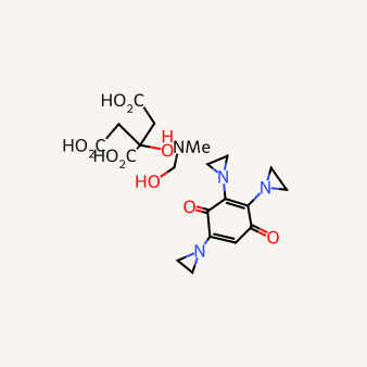 CNCO.O=C(O)CC(O)(CC(=O)O)C(=O)O.O=C1C=C(N2CC2)C(=O)C(N2CC2)=C1N1CC1